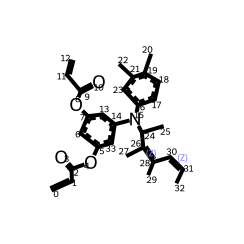 C=CC(=O)Oc1cc(OC(=O)C=C)cc(N(c2ccc(C)c(C)c2)C(C)/C(C)=C(C)\C=C/C)c1